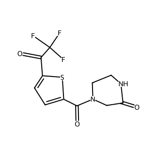 O=C1CN(C(=O)c2ccc(C(=O)C(F)(F)F)s2)CCN1